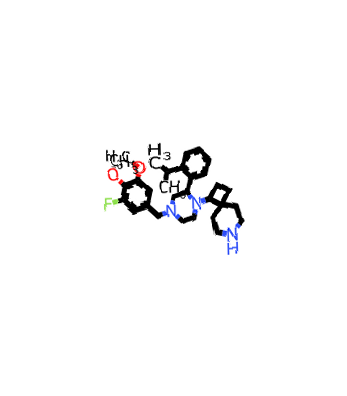 COc1cc(CN2CCN(C3CCC34CCNCC4)C(c3ccccc3C(C)C)C2)cc(F)c1OC